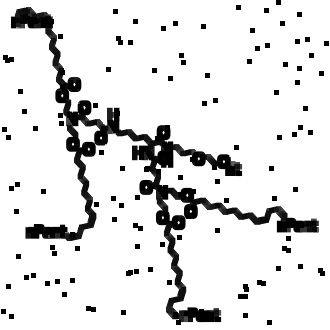 CCCCC/C=C\C/C=C\CCCCCCCC(=O)OCCN(CCOC(=O)CCCCCCC/C=C\C/C=C\CCCCC)C(=O)CCC(=O)NCCCCC(NC(=O)CCC(=O)N(CCOC(=O)CCCCCCC/C=C\C/C=C\CCCCC)CCOC(=O)CCCCCCC/C=C\C/C=C\CCCCC)C(=O)NCCCOCCOCC